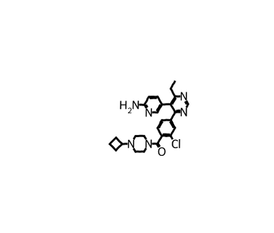 CCc1ncnc(-c2ccc(C(=O)N3CCN(C4CCC4)CC3)c(Cl)c2)c1-c1ccc(N)nc1